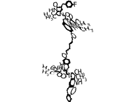 CN[C@@H](C)C(=O)N[C@@H](Cc1ccc(OCCCCCCOc2ccc(C[C@H](NC(=O)[C@H](C)NC)C(=O)N3CC(C)(C)c4[nH]c(=O)c(Cc5ccc(F)cc5)cc43)cc2)cc1)C(=O)N1CC(C)(C)c2[nH]c(=O)c(Cc3ccc(F)cc3)cc21